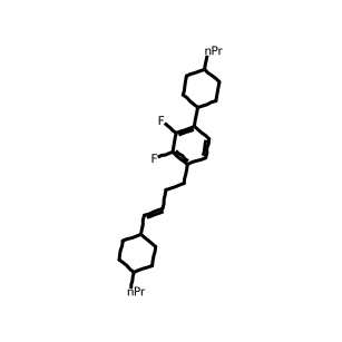 CCCC1CCC(/C=C/CCc2ccc(C3CCC(CCC)CC3)c(F)c2F)CC1